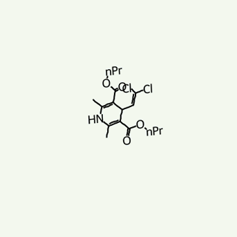 CCCOC(=O)C1=C(C)NC(C)=C(C(=O)OCCC)C1C=C(Cl)Cl